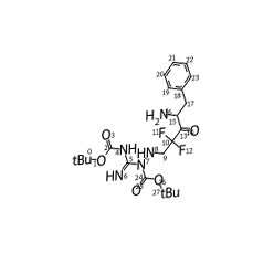 CC(C)(C)OC(=O)NC(=N)N(NCC(F)(F)C(=O)C(N)Cc1ccccc1)C(=O)OC(C)(C)C